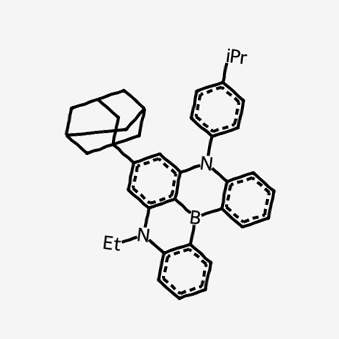 CCN1c2ccccc2B2c3ccccc3N(c3ccc(C(C)C)cc3)c3cc(C45CC6CC(CC(C6)C4)C5)cc1c32